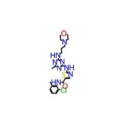 Cc1nc(NCCCN2CCOCC2)nc(Nc2ncc(C(=O)Nc3c(C)cccc3Cl)s2)n1